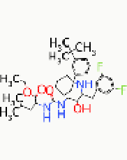 CCOC(=O)C(CC(C)C)NC(=O)NCC(O)C(Cc1cc(F)cc(F)c1)NC1(c2cccc(C(C)(C)C)c2)CCCCC1